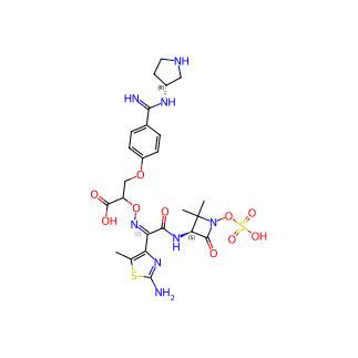 Cc1sc(N)nc1/C(=N/OC(COc1ccc(C(=N)N[C@@H]2CCNC2)cc1)C(=O)O)C(=O)N[C@@H]1C(=O)N(OS(=O)(=O)O)C1(C)C